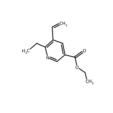 C=Cc1cc(C(=O)OCC)cnc1CC